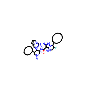 Nc1nn2c(c1C(=O)NC1CNCC(C3CCCCCCCCC3)C1N1CCN3CCC[C@H]3C1)NCC(F)C2C1CCCCCCCCCCC1